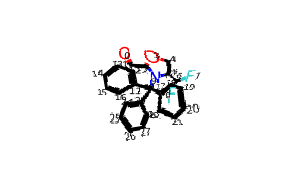 O=CC1OC[C@@H](C(F)F)N1C(c1ccccc1)(c1ccccc1)c1ccccc1